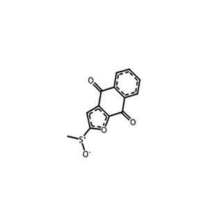 C[S+]([O-])c1cc2c(o1)C(=O)c1ccccc1C2=O